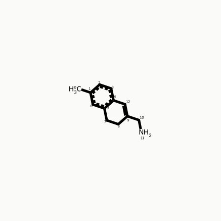 Cc1ccc2c(c1)CCC(CN)=C2